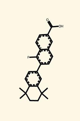 CC1(C)CCC(C)(C)c2cc(-c3ccc4cc(C(=O)O)ccc4c3F)ccc21